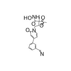 CC(CCn1ccc(-c2cccc(C#N)c2)cc1=O)(C(=O)NO)S(C)(=O)=O